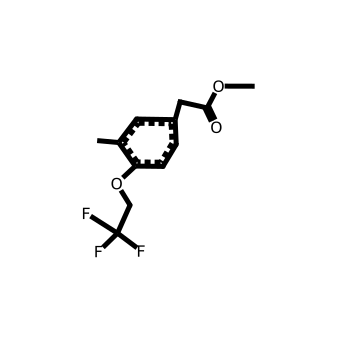 COC(=O)Cc1ccc(OCC(F)(F)F)c(C)c1